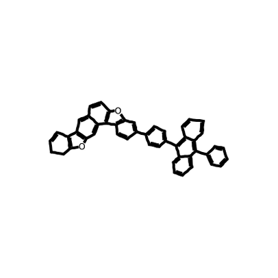 C1=Cc2c(oc3cc4c(ccc5oc6cc(-c7ccc(-c8c9ccccc9c(-c9ccccc9)c9ccccc89)cc7)ccc6c54)cc23)CC1